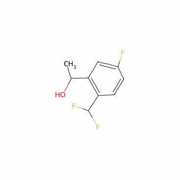 CC(O)c1cc(F)ccc1C(F)F